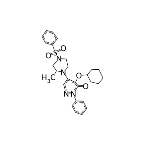 CC1CN(S(=O)(=O)c2ccccc2)CCN1c1cnn(-c2ccccc2)c(=O)c1OC1CCCCC1